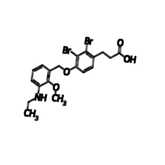 CCNc1cccc(COc2ccc(CCC(=O)O)c(Br)c2Br)c1OC